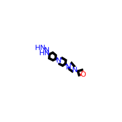 N=NNC1CCC(N2CCC(N3CCN(C4COC4)CC3)CC2)CC1